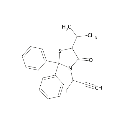 C#CC(I)N1C(=O)C(C(C)C)SC1(c1ccccc1)c1ccccc1